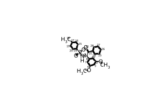 COc1cc(OC)cc(N(NS(=O)(=O)c2ccc(C)cc2)C(=O)c2ccccc2)c1